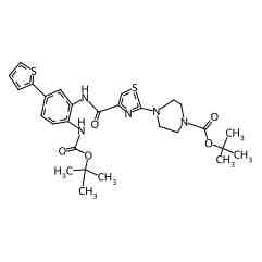 CC(C)(C)OC(=O)Nc1ccc(-c2cccs2)cc1NC(=O)c1csc(N2CCN(C(=O)OC(C)(C)C)CC2)n1